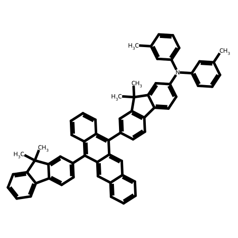 Cc1cccc(N(c2cccc(C)c2)c2ccc3c(c2)C(C)(C)c2cc(-c4c5ccccc5c(-c5ccc6c(c5)C(C)(C)c5ccccc5-6)c5cc6ccccc6cc45)ccc2-3)c1